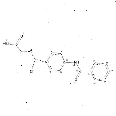 O=C(O)CC[S+]([O-])c1ccc(NC(=O)c2ccccc2)cc1